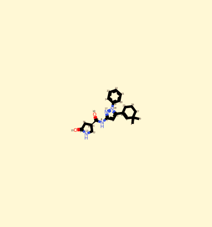 CC1(C)C=C(c2cc(NC(=O)[C@H]3CNC(=O)C3)nn2-c2ccccc2)CCC1